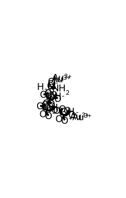 NC(N)=S.O=C([O-])CC(O)(CC(=O)[O-])C(=O)[O-].O=C([O-])CC(O)(CC(=O)[O-])C(=O)[O-].O=C([O-])CC(O)(CC(=O)[O-])C(=O)[O-].[Au+3].[Au+3].[Au+3].[Au+3].[Cl-].[Cl-].[Cl-]